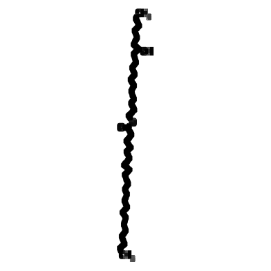 CCCCCCCCCCCCCCCCCCCCCC(=O)OCCCCCCCCCCCC(O)CCCCCC